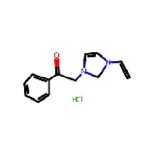 C=CN1C=CN(CC(=O)c2ccccc2)C1.Cl